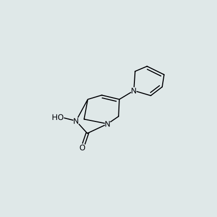 O=C1N2CC(N3C=CC=CC3)=CC(C2)N1O